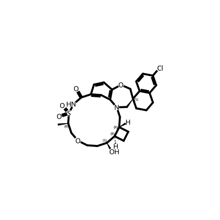 C[C@@H]1COCC[C@H](O)[C@@H]2CC[C@H]2CN2C[C@@]3(CCCc4cc(Cl)ccc43)COc3ccc(cc32)C(=O)NS1(=O)=O